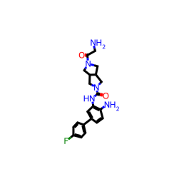 NCC(=O)N1CC2CN(C(=O)Nc3cc(-c4ccc(F)cc4)ccc3N)CC2C1